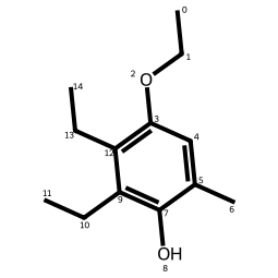 CCOc1cc(C)c(O)c(CC)c1CC